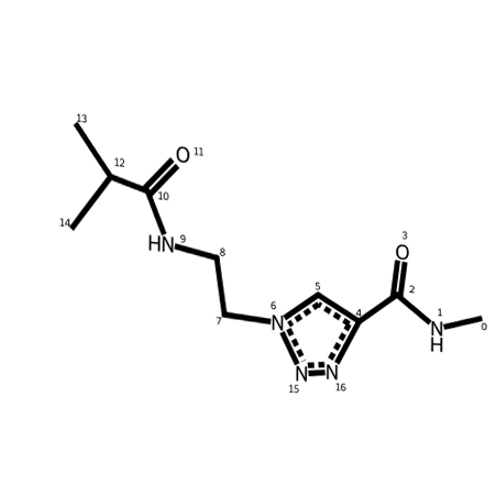 CNC(=O)c1cn(CCNC(=O)C(C)C)nn1